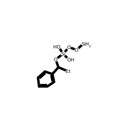 CCC(O[Si](O)(O)OO[SiH3])c1ccccc1